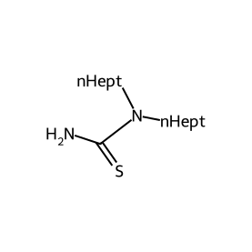 CCCCCCCN(CCCCCCC)C(N)=S